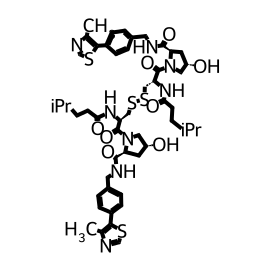 Cc1ncsc1-c1ccc(CNC(=O)[C@H]2C[C@H](O)CN2C(=O)[C@@H](CSSC[C@H](NC(=O)CCC(C)C)C(=O)N2C[C@H](O)C[C@H]2C(=O)NCc2ccc(-c3scnc3C)cc2)NC(=O)CCC(C)C)cc1